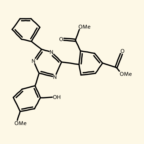 COC(=O)c1ccc(-c2nc(-c3ccccc3)nc(-c3ccc(OC)cc3O)n2)c(C(=O)OC)c1